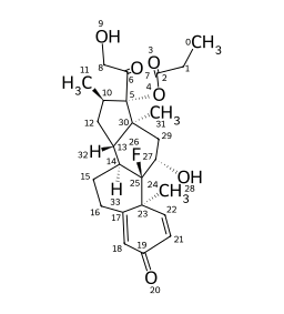 CCC(=O)O[C@@]1(C(=O)CO)[C@H](C)C[C@H]2[C@@H]3CCC4=CC(=O)C=C[C@]4(C)[C@@]3(F)[C@@H](O)C[C@@]21C